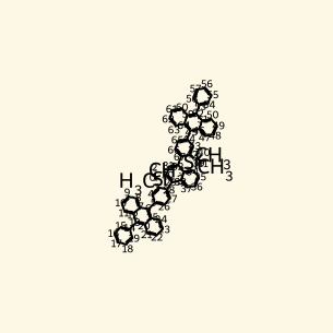 C[Si]1(C)c2cc(-c3c4ccccc4c(-c4ccccc4)c4ccccc34)ccc2-c2c1cc1c3c(cccc23)[Si](C)(C)c2cc(-c3c4ccccc4c(-c4ccccc4)c4ccccc34)ccc2-1